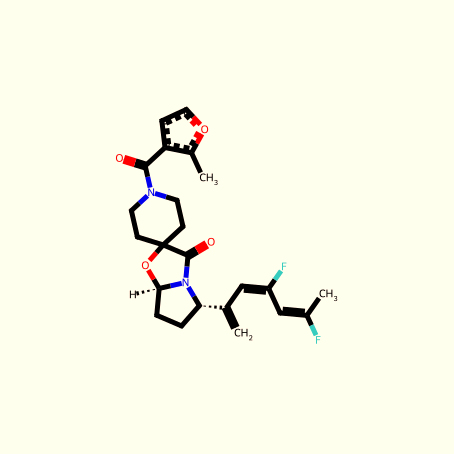 C=C(/C=C(F)\C=C(/C)F)[C@@H]1CC[C@H]2OC3(CCN(C(=O)c4ccoc4C)CC3)C(=O)N21